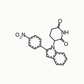 O=C1CCC(n2c(-c3ccc([N+](=O)[O-])cc3)cc3ccccc32)C(=O)N1